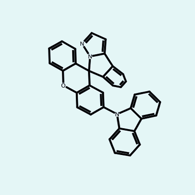 c1ccc2c(c1)Oc1ccc(-n3c4ccccc4c4ccccc43)cc1C21c2ccccc2-c2ccnn21